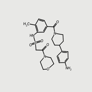 Cc1ccc(C(=O)N2CCC(c3ccc(N)cc3)CC2)cc1NS(=O)(=O)CC(=O)N1CCOCC1